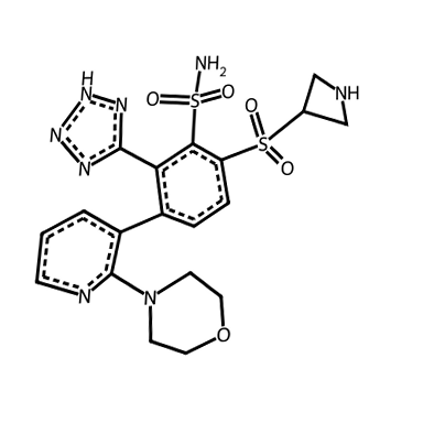 NS(=O)(=O)c1c(S(=O)(=O)C2CNC2)ccc(-c2cccnc2N2CCOCC2)c1-c1nn[nH]n1